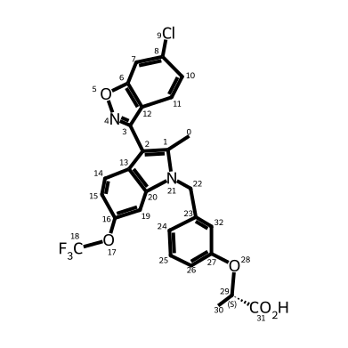 Cc1c(-c2noc3cc(Cl)ccc23)c2ccc(OC(F)(F)F)cc2n1Cc1cccc(O[C@@H](C)C(=O)O)c1